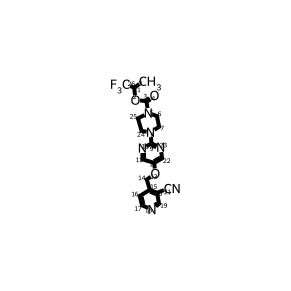 CC(OC(=O)N1CCN(c2ncc(OCc3ccncc3C#N)cn2)CC1)C(F)(F)F